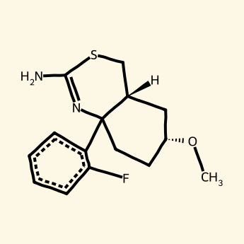 CO[C@@H]1CCC2(c3ccccc3F)N=C(N)SC[C@@H]2C1